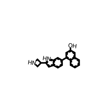 Oc1cc(-c2ccc3cc(C4CNC4)[nH]c3c2)c2ccccc2c1